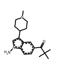 CN1CCC(c2cn(N)c3ccc(C(=O)C(C)(C)C)cc23)CC1